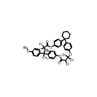 CCC(C)Oc1ccc(C(C)(C)c2ccc(OC(=O)C(CC)C(CC)(CC)Oc3ccc(C4(c5ccc(OC(=O)C(C)(C)CC)cc5)CCCCC4)cc3)cc2)cc1